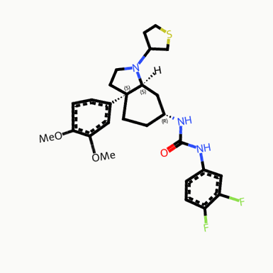 COc1ccc([C@@]23CC[C@@H](NC(=O)Nc4ccc(F)c(F)c4)C[C@@H]2N(C2CCSC2)CC3)cc1OC